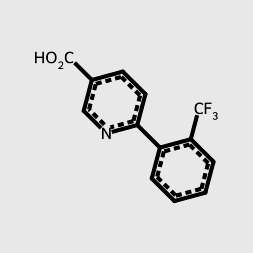 O=C(O)c1ccc(-c2ccccc2C(F)(F)F)nc1